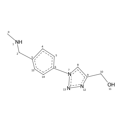 CNCc1ccc(-n2cc(CO)nn2)cc1